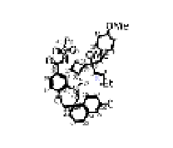 CC/C=C/[C@](CN1CCC(OC)CC1)(OC)[C@@H]1CC[C@H]1CN1C[C@@]2(CCCc3cc(Cl)ccc32)COc2ccc(C(=O)NS(=O)(=O)C(C)C)cc21